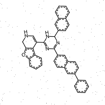 C1=C(C2=NC(c3ccc4cc(-c5ccccc5)ccc4c3)=NC(c3ccc4ccccc4c3)N2)c2c(oc3ccccc23)CN1